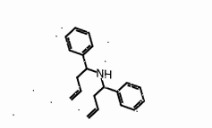 C=CCC(NC(CC=C)c1ccccc1)c1ccccc1